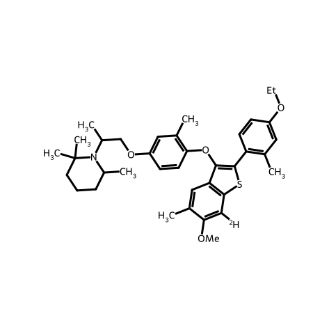 [2H]c1c(OC)c(C)cc2c(Oc3ccc(OCC(C)N4C(C)CCCC4(C)C)cc3C)c(-c3ccc(OCC)cc3C)sc12